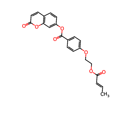 CC=CC(=O)OCCOc1ccc(C(=O)Oc2ccc3ccc(=O)oc3c2)cc1